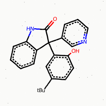 CC(C)(C)c1ccc(O)c(C2(c3cccnc3)C(=O)Nc3ccccc32)c1